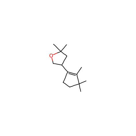 CC1=C(C2COC(C)(C)C2)CCC1(C)C